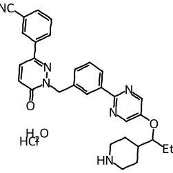 CCC(Oc1cnc(-c2cccc(Cn3nc(-c4cccc(C#N)c4)ccc3=O)c2)nc1)C1CCNCC1.Cl.O